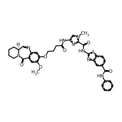 COc1cc2c(cc1OCCCC(=O)Nc1cn(C)c(C(=O)Nc3nc4cc(C(=O)Nc5ccccc5)ccc4s3)n1)N=C[C@@H]1CCCCN1C2=O